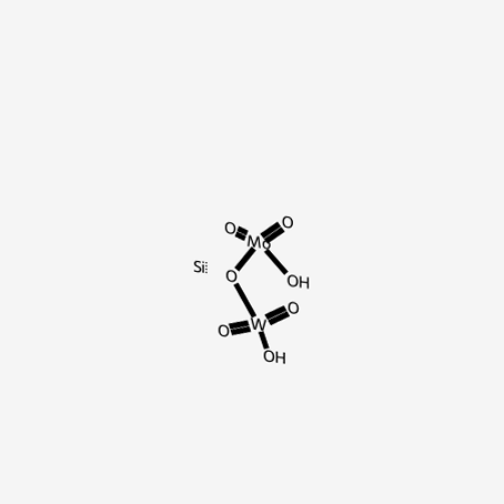 [O]=[Mo](=[O])([OH])[O][W](=[O])(=[O])[OH].[Si]